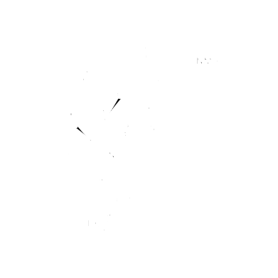 CNCC(=O)OC[C@@]1(CO)C(=O)N2C(OC(=O)O)=CS[C@@H]21